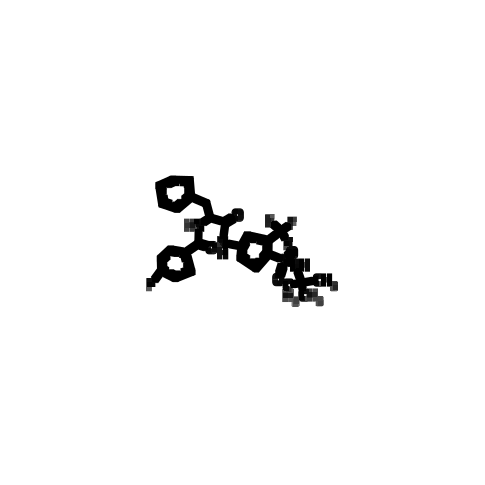 CC(C)(C)NS(=O)(=O)c1ccc(NC(=O)C(Cc2ccccc2)NC(=O)c2ccc(F)cc2)cc1C(F)(F)F